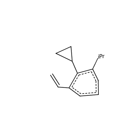 [CH2]C(C)c1cccc(C=C)c1C1CC1